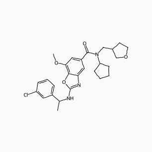 COc1cc(C(=O)N(CC2CCOC2)C2CCCC2)cc2nc(NC(C)c3cccc(Cl)c3)oc12